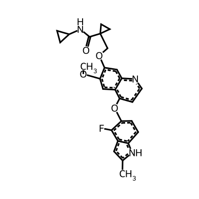 COc1cc2c(Oc3ccc4[nH]c(C)cc4c3F)ccnc2cc1OCC1(C(=O)NC2CC2)CC1